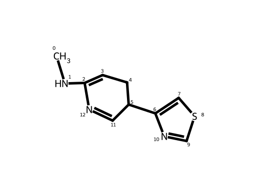 CNC1=CCC(c2cscn2)C=N1